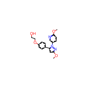 COc1ccc(-n2nc(OC)cc2-c2ccc(OCCO)cc2)cn1